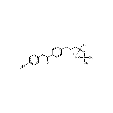 C[Si](C)(C)O[Si](C)(C)CCCc1ccc(C(=O)Oc2ccc(C#N)cc2)cc1